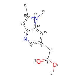 COC(=O)Cc1cnc2cc(C)n(C)c2c1